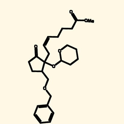 COC(=O)CCC/C=C\CC1(OC2CCCCO2)C(=O)CCC1COCc1ccccc1